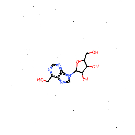 OCc1ncnc2c1ncn2C1OC(CO)C(O)C1O